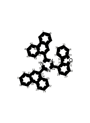 c1ccc2c(c1)cc(-c1nc(-c3cc4ccccc4c4ccccc34)nc(-c3cccc4oc5ccccc5c34)n1)c1ccccc12